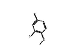 [CH2]c1ccc(OC)c(Br)c1